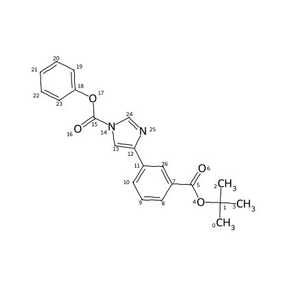 CC(C)(C)OC(=O)c1cccc(-c2cn(C(=O)Oc3ccccc3)cn2)c1